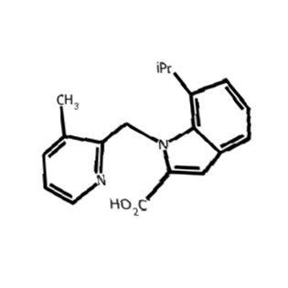 Cc1cccnc1Cn1c(C(=O)O)cc2cccc(C(C)C)c21